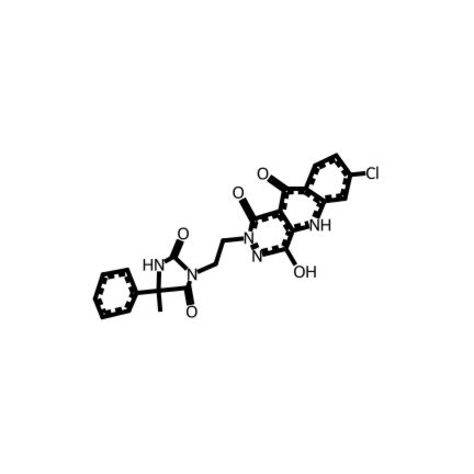 CC1(c2ccccc2)NC(=O)N(CCn2nc(O)c3[nH]c4cc(Cl)ccc4c(=O)c3c2=O)C1=O